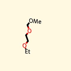 CCOCCOCOC